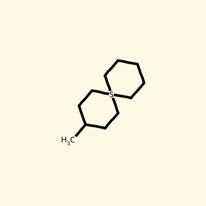 CC1CCS2(CCCCC2)CC1